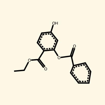 CCOC(=O)c1ccc(O)cc1OC(=O)c1ccccc1